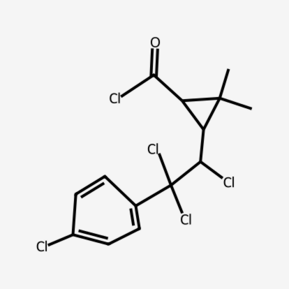 CC1(C)C(C(=O)Cl)C1C(Cl)C(Cl)(Cl)c1ccc(Cl)cc1